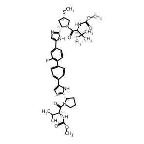 COC(=O)N[C@H](C(=O)N1CCC[C@H]1c1ncc(-c2ccc(-c3ccc(-c4cnc([C@@H]5C[C@H](SC)CN5C(=O)[C@@H](NC(=O)OC)C(C)(C)C)[nH]4)cc3F)cc2)[nH]1)C(C)C